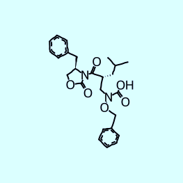 CC(C)C[C@H](CN(OCc1ccccc1)C(=O)O)C(=O)N1C(=O)OC[C@H]1Cc1ccccc1